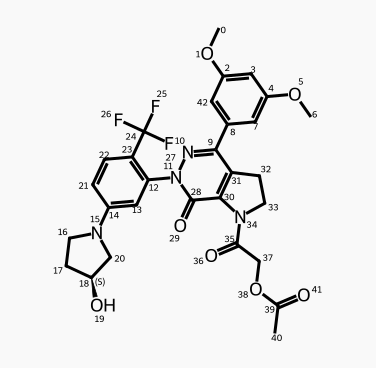 COc1cc(OC)cc(-c2nn(-c3cc(N4CC[C@H](O)C4)ccc3C(F)(F)F)c(=O)c3c2CCN3C(=O)COC(C)=O)c1